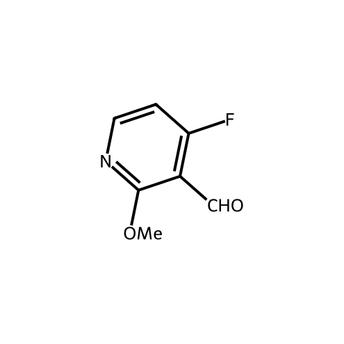 COc1nccc(F)c1C=O